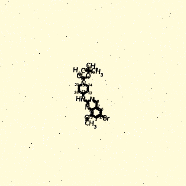 COc1cc(Br)cc2cnc(NC3CCN(C(=O)OC(C)(C)C)CC3)nc12